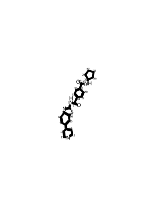 O=C(Nc1nc2ccc(-c3ccncc3)cc2s1)c1ccc(C(=O)NC2CCCC2)cc1